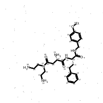 CCOc1ccc(CNC(=O)[C@H](CCc2ccccc2)NC(=O)[C@@H](N)CC(=O)N(CCN)CCN)cc1